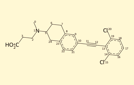 CN(CCC(=O)O)C1CCc2cc(C#Cc3c(Cl)cccc3Cl)ccc2C1